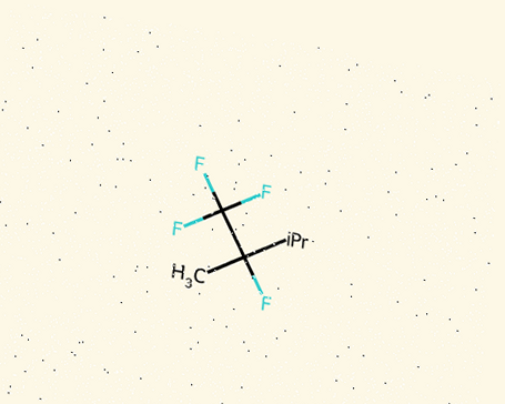 CC(C)C(C)(F)C(F)(F)F